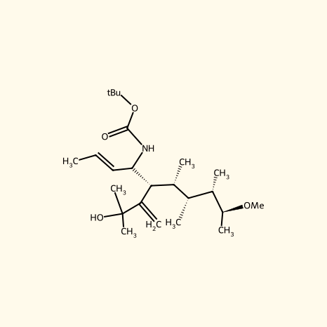 C=C([C@H](C(/C=C/C)NC(=O)OC(C)(C)C)[C@H](C)[C@@H](C)[C@H](C)[C@H](C)OC)C(C)(C)O